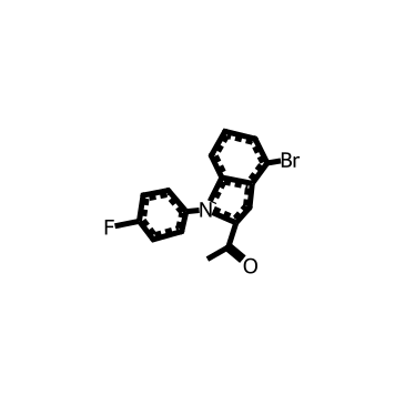 CC(=O)c1cc2c(Br)cccc2n1-c1ccc(F)cc1